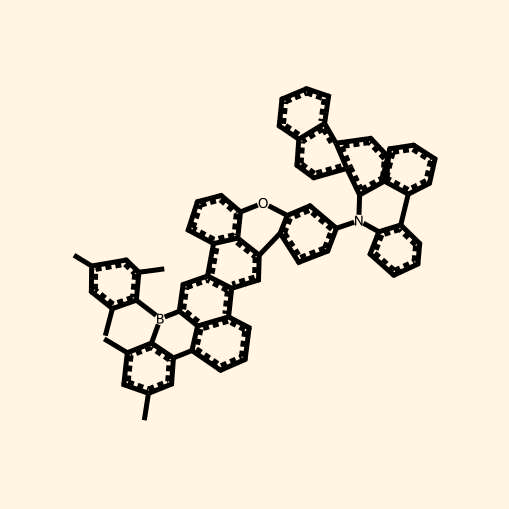 Cc1cc(C)c(B2c3c(C)cc(C)cc3-c3cccc4c3c2cc2c3cccc5c3c(cc42)-c2ccc(N(c3ccccc3-c3ccccc3)c3cccc4c3ccc3ccccc34)cc2O5)c(C)c1